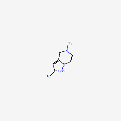 CCCN1CCN2NC(C(C)=O)C=C2C1